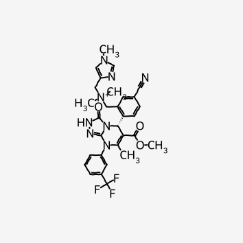 COC(=O)C1=C(C)N(c2cccc(C(F)(F)F)c2)c2n[nH]c(=O)n2[C@@H]1c1ccc(C#N)cc1C[N+](C)(C)Cc1cn(C)cn1